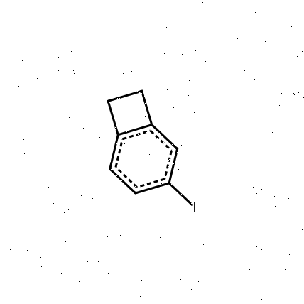 Ic1ccc2c(c1)CC2